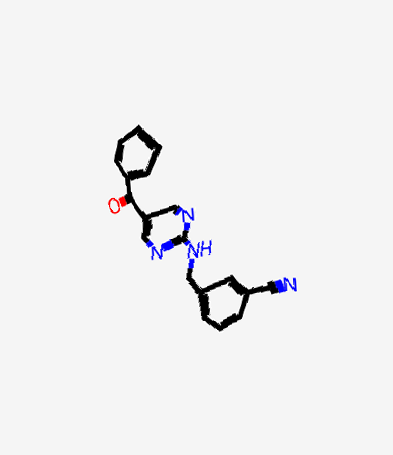 N#Cc1cccc(CNc2ncc(C(=O)c3ccccc3)cn2)c1